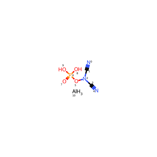 N#CN(C#N)OP(=O)(O)O.[AlH3]